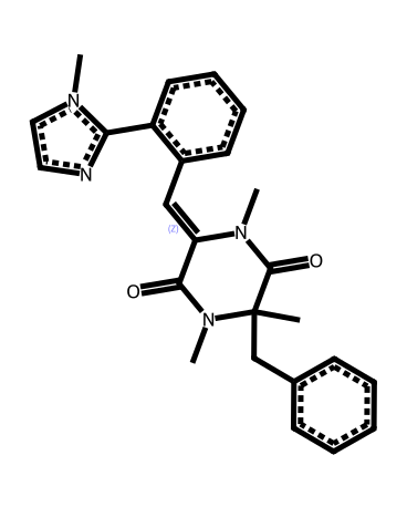 CN1C(=O)C(C)(Cc2ccccc2)N(C)C(=O)/C1=C/c1ccccc1-c1nccn1C